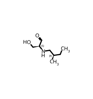 CC[C@@H](C)CN[C@H](C=O)CO